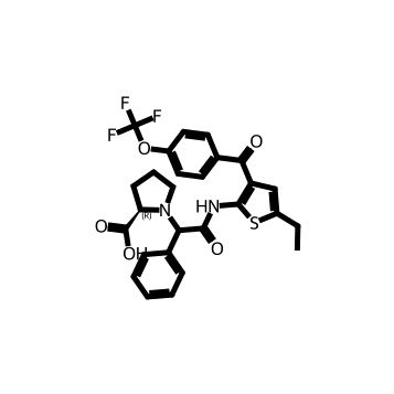 CCc1cc(C(=O)c2ccc(OC(F)(F)F)cc2)c(NC(=O)C(c2ccccc2)N2CCC[C@@H]2C(=O)O)s1